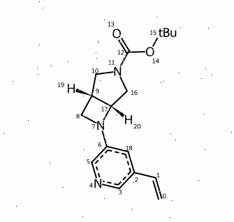 C=Cc1cncc(N2C[C@@H]3CN(C(=O)OC(C)(C)C)C[C@@H]32)c1